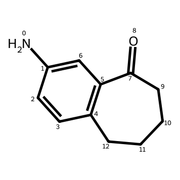 Nc1ccc2c(c1)C(=O)CCCC2